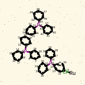 [Cl][Ru].c1ccc(P(c2ccccc2)c2ccccc2)cc1.c1ccc(P(c2ccccc2)c2ccccc2)cc1.c1ccc(P(c2ccccc2)c2ccccc2)cc1